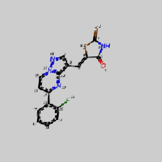 O=C1NC(=S)SC1=Cc1cnn2ccc(-c3ccccc3F)nc12